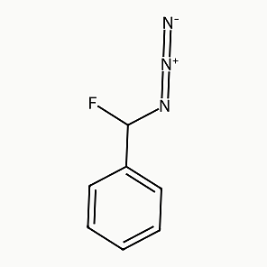 [N-]=[N+]=NC(F)c1ccccc1